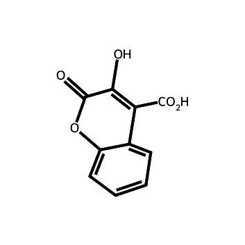 O=C(O)c1c(O)c(=O)oc2ccccc12